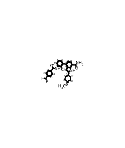 CSN1CC=C(c2cc3c(-c4cccc(NC(=O)c5ccc(C(F)F)cc5)c4C)ccc(C(N)=O)c3[nH]2)CC1